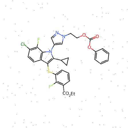 CCOC(=O)c1cccc(Sc2c(C3CC3)n(-c3cnn(CCOC(=O)Oc4ccccc4)c3)c3c(F)c(Cl)ccc23)c1F